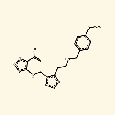 COc1ccc(CNCCc2nnnn2CNc2nonc2C(=O)O)cc1